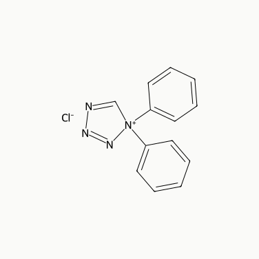 C1=NN=N[N+]1(c1ccccc1)c1ccccc1.[Cl-]